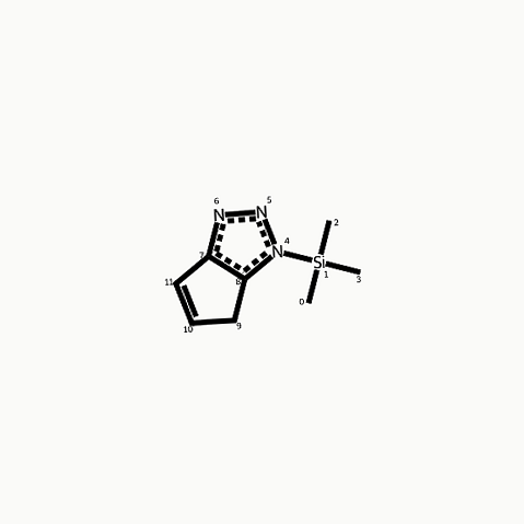 C[Si](C)(C)n1nnc2c1CC=C2